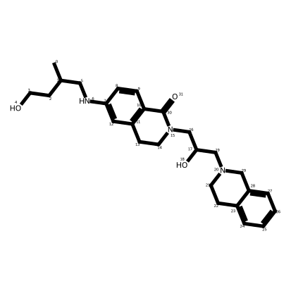 CC(CCO)CNc1ccc2c(c1)CCN(CC(O)CN1CCc3ccccc3C1)C2=O